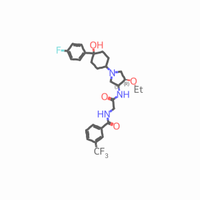 CCO[C@@H]1CN(C2CCC(O)(c3ccc(F)cc3)CC2)C[C@@H]1NC(=O)CNC(=O)c1cccc(C(F)(F)F)c1